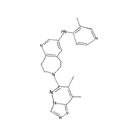 Cc1cnccc1Nc1cnc2c(c1)CN(c1nn3cnnc3c(C)c1C)CC2